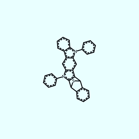 c1ccc(-n2c3c(c4cc5c(cc42)c2ccccc2n5-c2ccccc2)C2SC3c3ccccc32)cc1